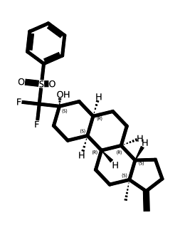 C=C1CC[C@H]2[C@@H]3CC[C@@H]4C[C@](O)(C(F)(F)S(=O)(=O)c5ccccc5)CC[C@@H]4[C@H]3CC[C@]12C